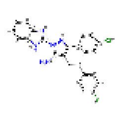 Nc1c(CCc2ccc(F)cc2)c(-c2ccc(Cl)cc2)nn1-c1nc2ccccc2[nH]1